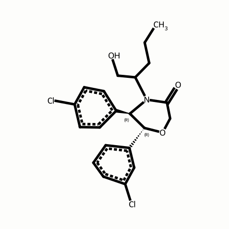 CCCC(CO)N1C(=O)CO[C@H](c2cccc(Cl)c2)[C@H]1c1ccc(Cl)cc1